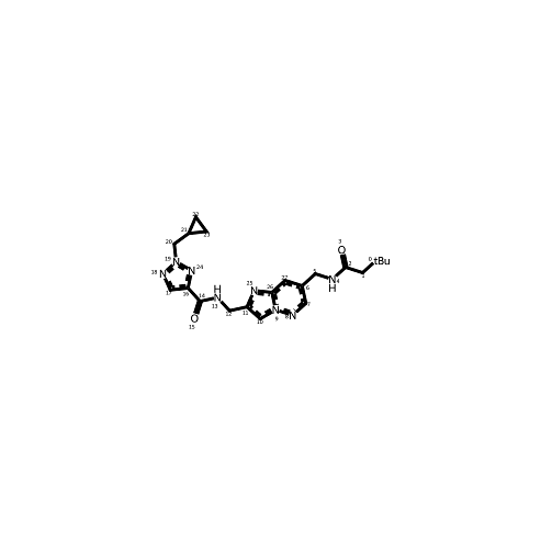 CC(C)(C)CC(=O)NCc1cnn2cc(CNC(=O)c3cnn(CC4CC4)n3)nc2c1